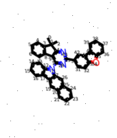 CC1(C)c2ccccc2-c2c(-n3c4ccccc4c4cc5ccccc5cc43)nc(-c3ccc4oc5ccccc5c4c3)nc21